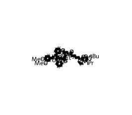 CCCCOC(=O)[C@H](C(C)C)N1CCCN(CCCCC(=O)NCCOc2cccc([C@@H](CCc3ccc(OC)c(OC)c3)OC(=O)[C@@H]3CCCCN3C(=O)C(=O)C(C)(C)CC)c2)C1=O